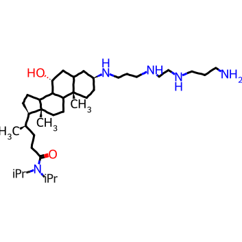 CC(C)N(C(=O)CC[C@@H](C)[C@H]1CCC2C3C(CC[C@@]21C)[C@@]1(C)CC[C@H](NCCCNCCNCCCN)CC1C[C@H]3O)C(C)C